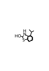 CC(C)c1cccc2c1NC(O)S2